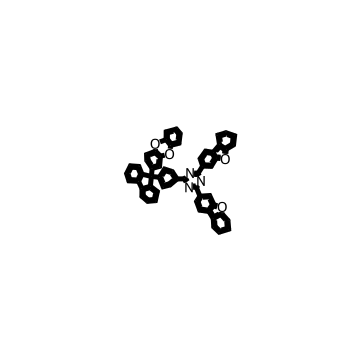 c1ccc2c(c1)Oc1ccc(C3(c4ccc(-c5nc(-c6ccc7c(c6)oc6ccccc67)nc(-c6ccc7c(c6)oc6ccccc67)n5)cc4)c4ccccc4-c4ccccc43)cc1O2